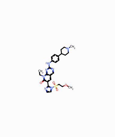 CCn1c(=O)c(-c2nccn2S(=O)(=O)CCOC)cc2cnc(Nc3ccc(C4CCN(C)CC4)cc3)nc21